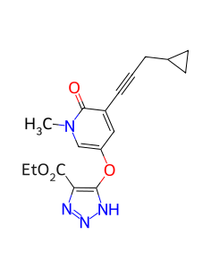 CCOC(=O)c1nn[nH]c1Oc1cc(C#CCC2CC2)c(=O)n(C)c1